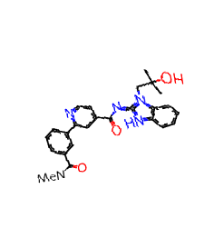 CNC(=O)c1cccc(-c2cc(C(=O)/N=c3\[nH]c4ccccc4n3CC(C)(C)O)ccn2)c1